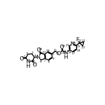 O=C1CCC(N2Cc3ccc(COC(=O)Nc4ccc(C5(F)CC5)nc4)cc3C2=O)C(=O)N1